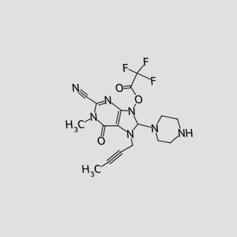 CC#CCN1c2c(nc(C#N)n(C)c2=O)N(OC(=O)C(F)(F)F)C1N1CCNCC1